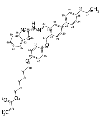 C=CC(=O)OCCCCCCOc1ccc(OCc2ccc(-c3ccc(CCC)cc3)cc2/C=N/Nc2nc3ccccc3s2)cc1